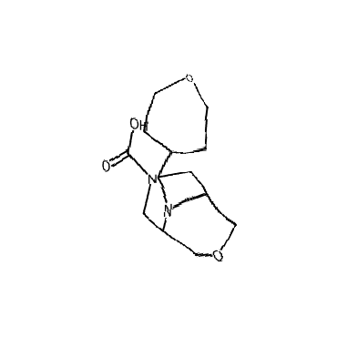 O=C(O)N1CC2COCC(C1)N2CC1CCOCC1